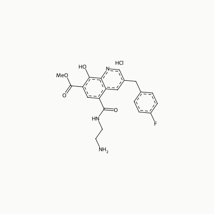 COC(=O)c1cc(C(=O)NCCN)c2cc(Cc3ccc(F)cc3)cnc2c1O.Cl